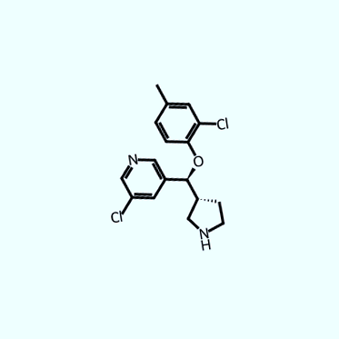 Cc1ccc(O[C@H](c2cncc(Cl)c2)[C@@H]2CCNC2)c(Cl)c1